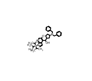 CC(C)[Si](C(C)C)(C(C)C)n1ccc2c(C(O)C3CC[C@@H](N(Cc4ccccc4)Cc4ccccc4)C3)c(Cl)cnc21